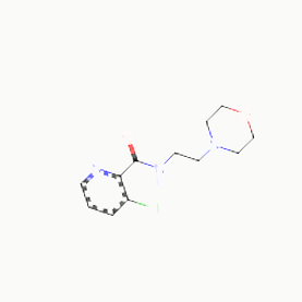 O=C(NCCN1CCOCC1)c1ncccc1Cl